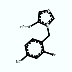 CCCCCc1cncn1Cc1ccc(C#N)cc1Br